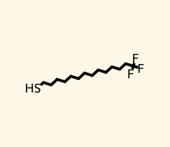 FC(F)(F)CCCCCCCCCCCCCS